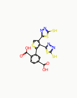 O=C(O)c1ccc(C(=O)O)c(-c2scc(-c3nnc(S)s3)c2-c2nnc(S)s2)c1